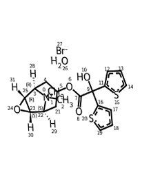 C[N+]1(C)[C@@H]2CC(OC(=O)C(O)(c3cccs3)c3cccs3)C[C@H]1[C@@H]1O[C@@H]12.O.[Br-]